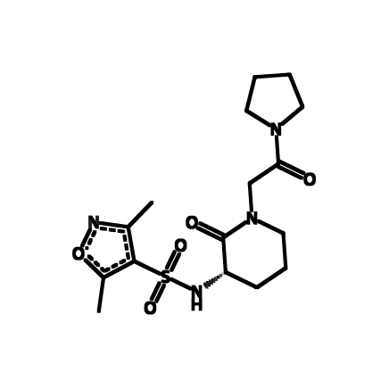 Cc1noc(C)c1S(=O)(=O)N[C@H]1CCCN(CC(=O)N2CCCC2)C1=O